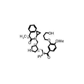 COc1ccc(C(=O)N(C[C@@H]2CNC[C@H]2CN(C(=O)[C@H](C)c2ccccc2)C2CC2)C(C)C)cc1OCCCO